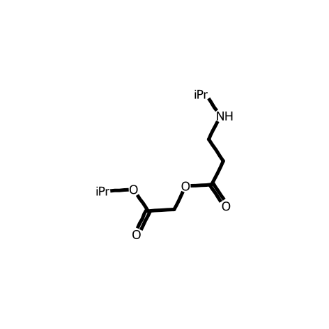 CC(C)NCCC(=O)OCC(=O)OC(C)C